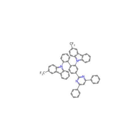 FC(F)(F)c1ccc2c(c1)c1ccccc1n2-c1ccccc1-c1ccc(-c2nc(-c3ccccc3)cc(-c3ccccc3)n2)cc1-n1c2ccccc2c2cc(C(F)(F)F)ccc21